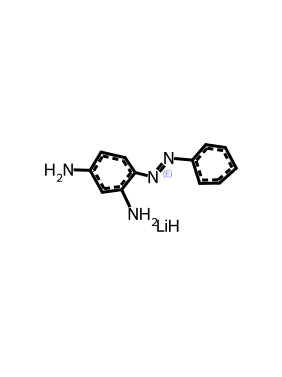 Nc1ccc(/N=N/c2ccccc2)c(N)c1.[LiH]